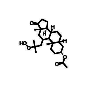 CC(=O)O[C@@H]1CC[C@]2(C)C3C(CC(C)(C)OO)C[C@]4(C)C(=O)CC[C@H]4[C@@H]3CC[C@@H]2C1